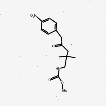 CC(C)(CNC(=O)OC(C)(C)C)CC(=O)Cc1ccc([N+](=O)[O-])cc1